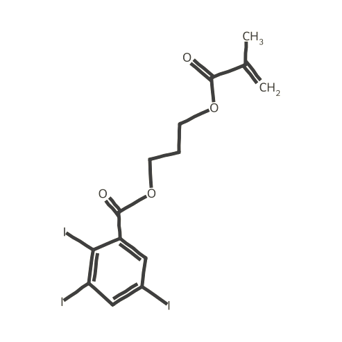 C=C(C)C(=O)OCCCOC(=O)c1cc(I)cc(I)c1I